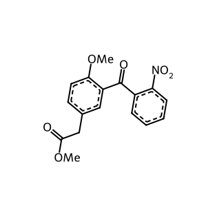 COC(=O)Cc1ccc(OC)c(C(=O)c2ccccc2[N+](=O)[O-])c1